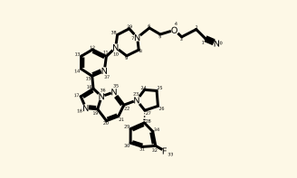 N#CCCOCCN1CCN(c2cccc(-c3cnc4ccc(N5CCC[C@@H]5c5cccc(F)c5)nn34)n2)CC1